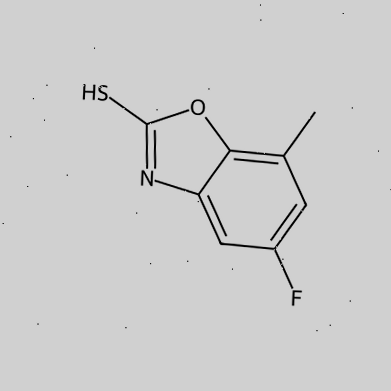 Cc1cc(F)cc2nc(S)oc12